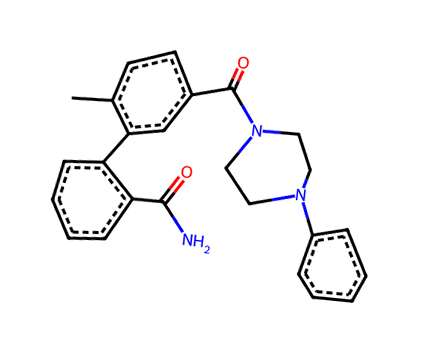 Cc1ccc(C(=O)N2CCN(c3ccccc3)CC2)cc1-c1ccccc1C(N)=O